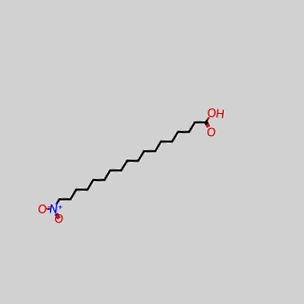 O=C(O)CCCCCCCCCCCCCCCCC[N+](=O)[O-]